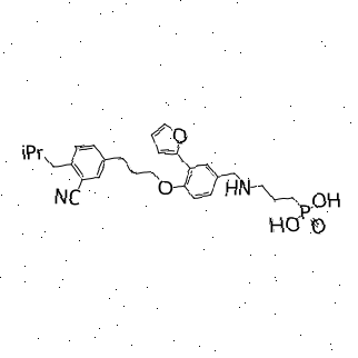 CC(C)Cc1ccc(CCCOc2ccc(CNCCCP(=O)(O)O)cc2-c2ccco2)cc1C#N